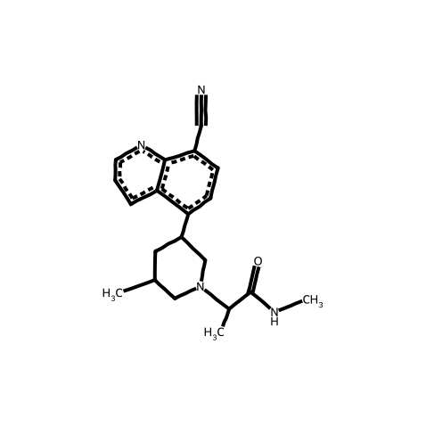 CNC(=O)C(C)N1CC(C)CC(c2ccc(C#N)c3ncccc23)C1